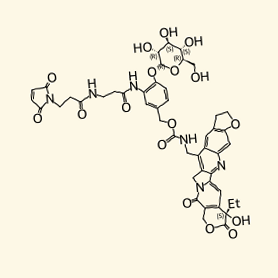 CC[C@@]1(O)C(=O)OCc2c1cc1n(c2=O)Cc2c-1nc1cc3c(cc1c2CNC(=O)OCc1ccc(O[C@H]2O[C@H](CO)[C@@H](O)[C@H](O)[C@H]2O)c(NC(=O)CCNC(=O)CCN2C(=O)C=CC2=O)c1)CCO3